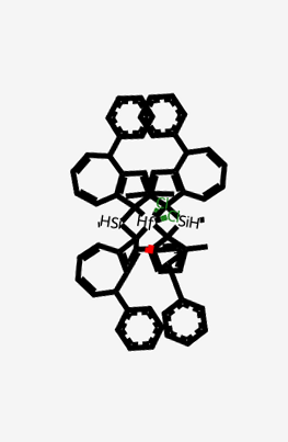 CC1=CC2=C(C=CC=CC2c2ccccc2)[C]12[SiH](C)[C]1(C(C)=CC3=C1C=CC=CC3c1ccccc1)[Hf]21([Cl])([Cl])[C]2(C(C)=CC3=C2C=CC=CC3c2ccccc2)[SiH](C)[C]12C(C)=CC1=C2C=CC=CC1c1ccccc1